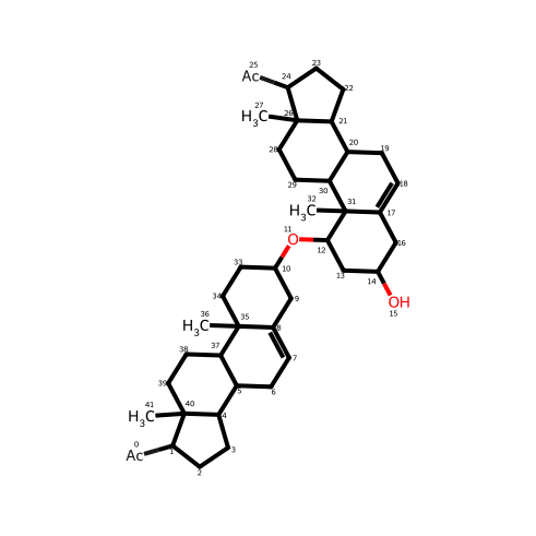 CC(=O)C1CCC2C3CC=C4CC(OC5CC(O)CC6=CCC7C8CCC(C(C)=O)C8(C)CCC7C65C)CCC4(C)C3CCC12C